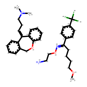 CN(C)CCC=C1c2ccccc2COc2ccccc21.COCCCC/C(=N\OCCN)c1ccc(C(F)(F)F)cc1